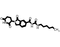 CCCCCCNC(=O)NC(=O)c1ccc2c(c1)C(=O)N(C1CCC(=O)NC1=O)C2